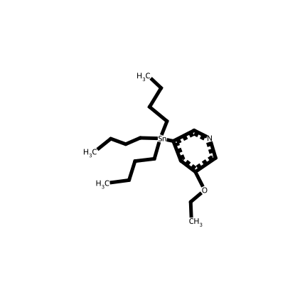 CCC[CH2][Sn]([CH2]CCC)([CH2]CCC)[c]1cncc(OCC)c1